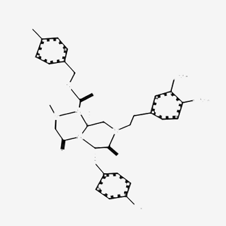 COc1ccc(CCN2C[C@H]3N(C(=O)CN(C)N3C(=O)NCc3ccc(F)cc3)[C@@H](Cc3ccc(O)cc3)C2=O)cc1OC